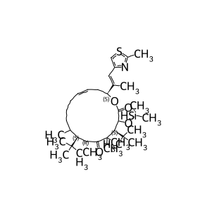 CC(=Cc1csc(C)n1)[C@@H]1CC=CCCCC(C)[C@H](C(C)(C)C)[C@@H](C)C(=O)C(C)(C)[C@H](C(C)(C)C)C(O[SiH](C)C)C(=O)O1